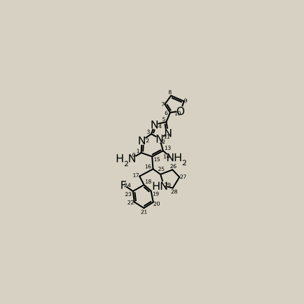 Nc1nc2nc(-c3ccco3)nn2c(N)c1C(Cc1ccccc1F)C1CCCN1